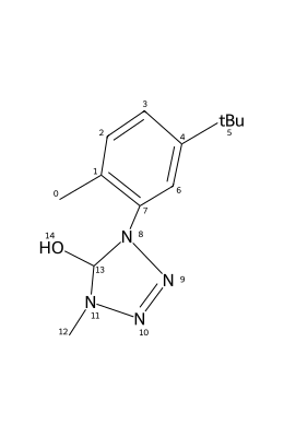 Cc1ccc(C(C)(C)C)cc1N1N=NN(C)C1O